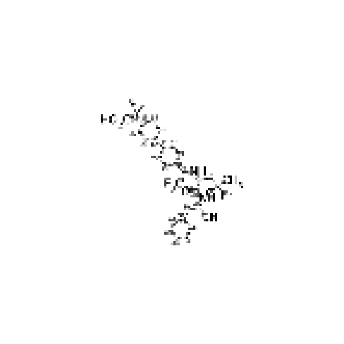 CC(C)(F)C[C@H](N[C@@H](c1ccc(-c2ccc(C3(C(=O)O)CC3)cc2)cc1)C(F)(F)F)C(=O)N[C@H](C#N)Cc1ccccc1